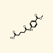 COC(=O)c1ccc(NC(=O)CCCC(=O)O)cc1